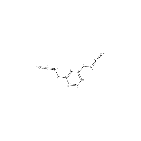 O=C=NCc1[c]c(CN=C=O)ccc1